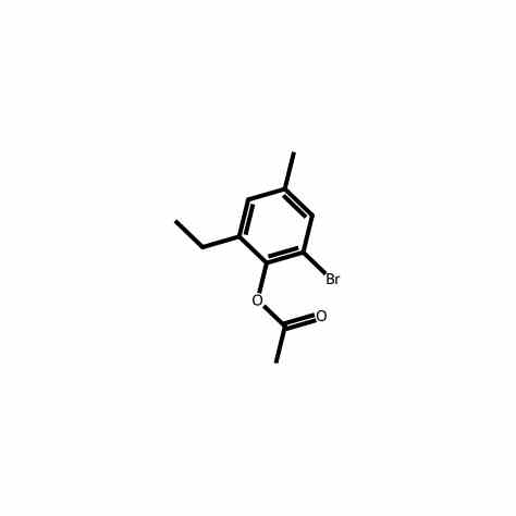 CCc1cc(C)cc(Br)c1OC(C)=O